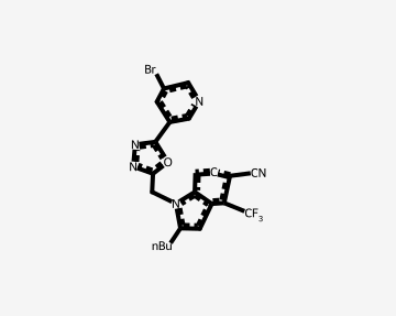 CCCCc1cc2c(C(F)(F)F)c(C#N)ccc2n1Cc1nnc(-c2cncc(Br)c2)o1